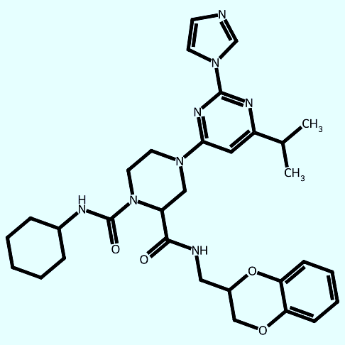 CC(C)c1cc(N2CCN(C(=O)NC3CCCCC3)C(C(=O)NCC3COc4ccccc4O3)C2)nc(-n2ccnc2)n1